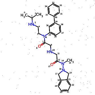 CC(C)NCCN(C(=O)CNCC(=O)N(C)N1Cc2ccccc2C1)c1cccc(-c2ccccc2)c1